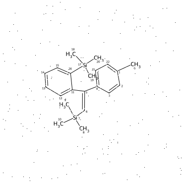 Cc1ccc(/C(=C/[Si](C)(C)C)c2ccccc2[Si](C)(C)C)cc1